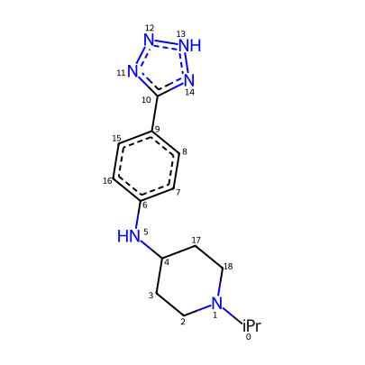 CC(C)N1CCC(Nc2ccc(-c3nn[nH]n3)cc2)CC1